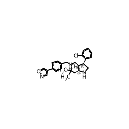 CC(C)(C)C[C@@H]1NC[C@H](c2ccccc2Cl)[C@@H]1CNCc1ccc(-c2cnoc2)cc1